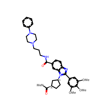 CNC(=O)[C@@H]1CC[C@H](n2c(-c3cc(OC)c(OC)c(OC)c3)nc3ccc(C(=O)NCCCN4CCN(c5ccccc5)CC4)cc32)C1